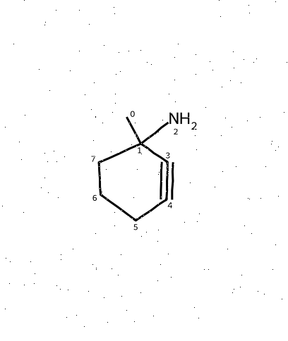 CC1(N)C#CCCC1